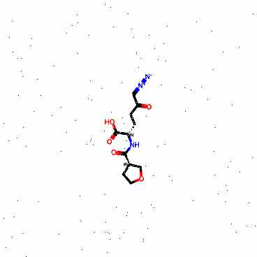 [N-]=[N+]=CC(=O)CC[C@H](NC(=O)[C@@H]1CCOC1)C(=O)O